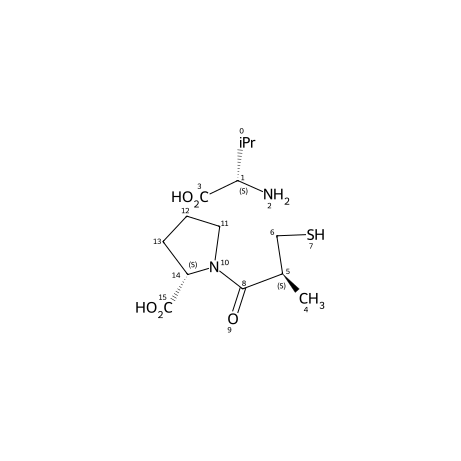 CC(C)[C@H](N)C(=O)O.C[C@H](CS)C(=O)N1CCC[C@H]1C(=O)O